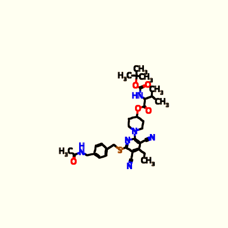 CCc1c(C#N)c(SCc2ccc(CNC(C)=O)cc2)nc(N2CCC(OC(=O)C(NC(=O)OC(C)(C)C)C(C)C)CC2)c1C#N